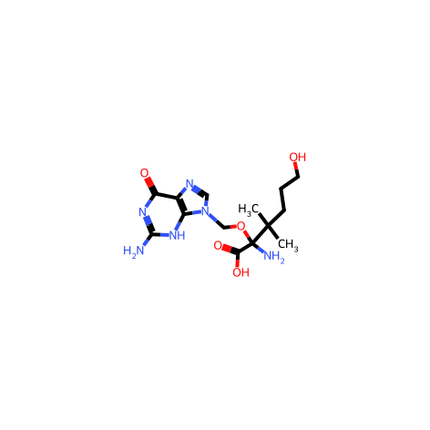 CC(C)(CCCO)C(N)(OCn1cnc2c(=O)nc(N)[nH]c21)C(=O)O